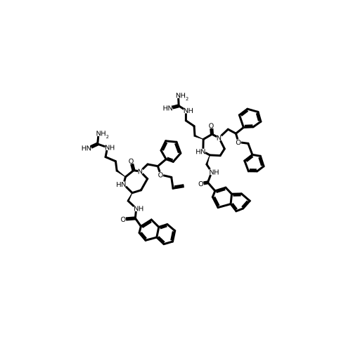 C=CCOC(CN1CC[C@@H](CNC(=O)c2ccc3ccccc3c2)N[C@@H](CCCNC(=N)N)C1=O)c1ccccc1.N=C(N)NCCC[C@@H]1N[C@H](CNC(=O)c2ccc3ccccc3c2)CCN(CC(OCc2ccccc2)c2ccccc2)C1=O